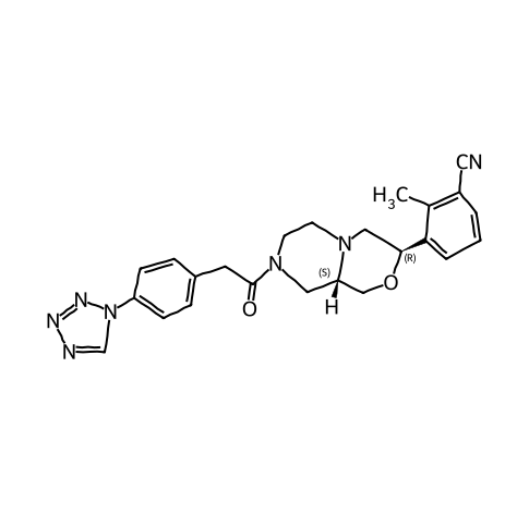 Cc1c(C#N)cccc1[C@@H]1CN2CCN(C(=O)Cc3ccc(-n4cnnn4)cc3)C[C@H]2CO1